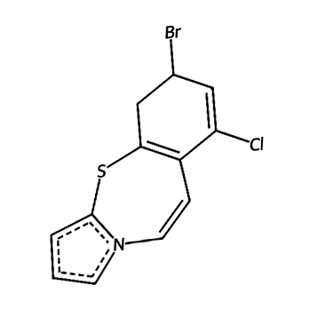 ClC1=CC(Br)CC2=C1C=Cn1cccc1S2